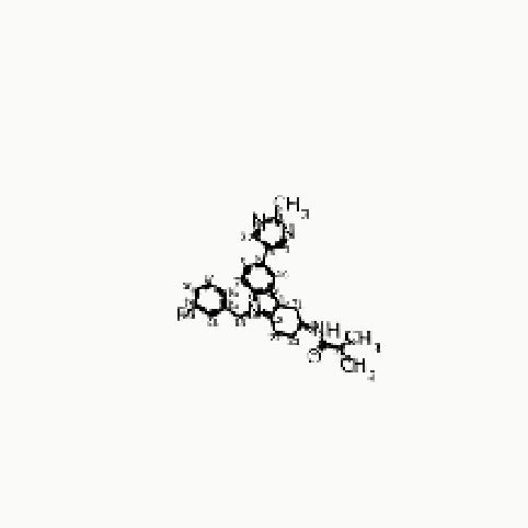 Cc1ncc(-c2ccc3c(c2)c2c(n3Cc3cccc(F)c3)CCC(NC(=O)C(C)C)C2)cn1